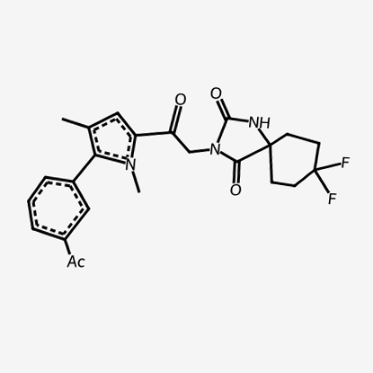 CC(=O)c1cccc(-c2c(C)cc(C(=O)CN3C(=O)NC4(CCC(F)(F)CC4)C3=O)n2C)c1